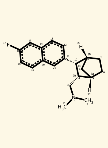 CN(C)C[C@H]1[C@H]2CC[C@H](C2)[C@H]1c1ccc2cc(F)ccc2c1